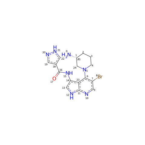 N[C@@H]1CCCN(c2c(Br)cnc3[nH]cc(NC(=O)c4cn[nH]c4)c23)C1